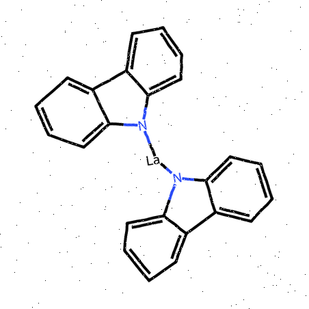 c1ccc2c(c1)c1ccccc1[n]2[La][n]1c2ccccc2c2ccccc21